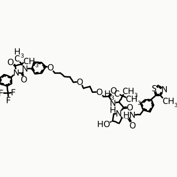 Cc1ncsc1-c1ccc(CNC(=O)[C@@H]2C[C@@H](O)CN2C(=O)C(NC(=O)COCCCOCCCCCOc2ccc(N3C(=O)N(c4cccc(C(F)(F)F)c4)C(=O)C3(C)C)cc2)C(C)(C)C)cc1